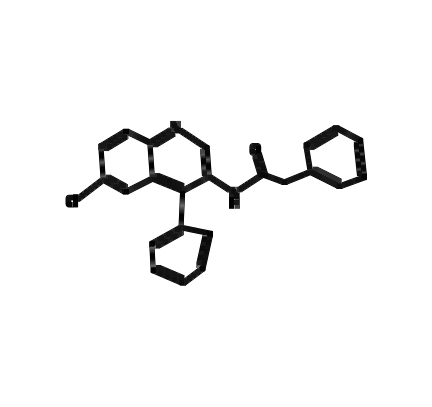 O=C(Cc1ccccc1)Nc1cnc2ccc(Cl)cc2c1-c1ccccc1